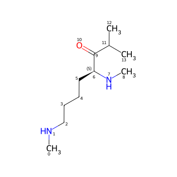 CNCCCC[C@H](NC)C(=O)C(C)C